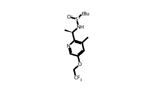 Cc1cc(OCC(F)(F)F)cnc1[C@@H](C)N[S+]([O-])C(C)(C)C